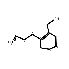 C=CCCC1=C(CC)CCCC1